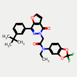 CCN(C(=O)Cn1nc(-c2cccc(C(C)(C)C)c2)c2occc2c1=O)c1ccc2c(c1)OC(F)(F)O2